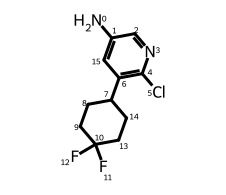 Nc1cnc(Cl)c(C2CCC(F)(F)CC2)c1